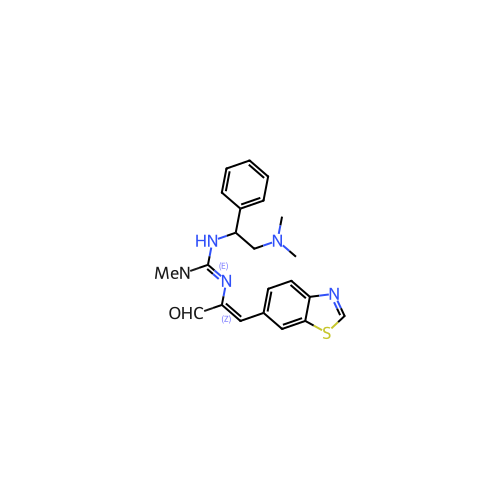 CN/C(=N\C(C=O)=C/c1ccc2ncsc2c1)NC(CN(C)C)c1ccccc1